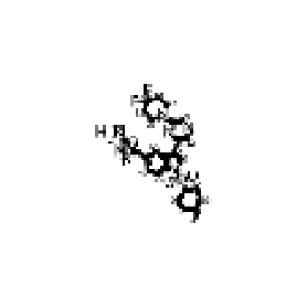 Cc1ccc(S(=O)(=O)n2cc(-c3cncc(N4CCC(F)(F)CC4)n3)c3cc(-c4nnc(N)o4)ccc32)cc1